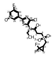 CCN(C(=O)CCS(=O)(=O)CC1CC1(F)F)c1sc(-c2cc(F)c[n+]([O-])c2)nc1Cl